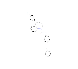 O=C(Nc1ccc(OCc2ccccc2)cc1)N1CCCC(c2ccc(F)cc2)c2ccc(F)cc21